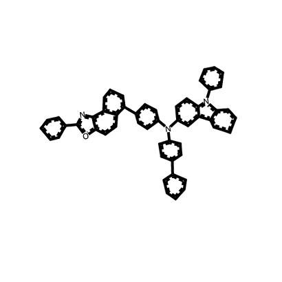 c1ccc(-c2ccc(N(c3ccc(-c4cccc5c4ccc4oc(-c6ccccc6)nc45)cc3)c3ccc4c(c3)c3ccccc3n4-c3ccccc3)cc2)cc1